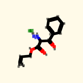 C=CCOC(=O)C(N)C(=O)c1ccccc1.Cl